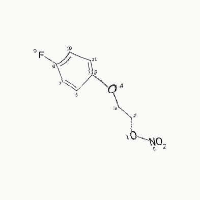 O=[N+]([O-])OCCOc1ccc(F)cc1